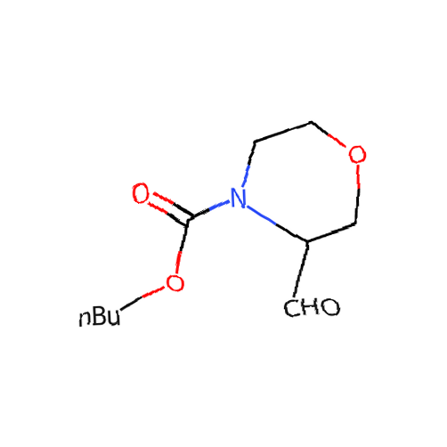 CCCCOC(=O)N1CCOCC1C=O